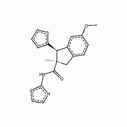 COc1ccc2c(c1)[C@H](c1cccs1)[C@](C)(C(=O)Nc1nccs1)C2